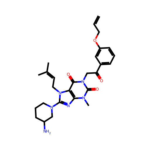 C=CCOc1cccc(C(=O)Cn2c(=O)c3c(nc(N4CCCC(N)C4)n3CC=C(C)C)n(C)c2=O)c1